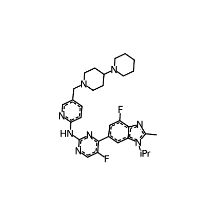 Cc1nc2c(F)cc(-c3nc(Nc4ccc(CN5CCC(N6CCCCC6)CC5)cn4)ncc3F)cc2n1C(C)C